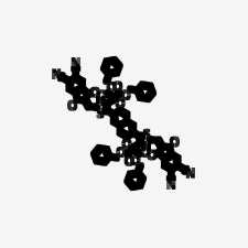 N#Cc1cc2c(cc1C#N)C(=O)C(=Cc1nc3c(s1)C1=CC4C=C5OC(C(=O)OCc6ccccc6)(C(=O)OCc6ccccc6)c6nc(C=C7C(=O)c8cc(C#N)c(C#N)cc8C7=O)sc6C5=CC4C=C1OC3(C(=O)OCc1ccccc1)C(=O)OCc1ccccc1)C2=O